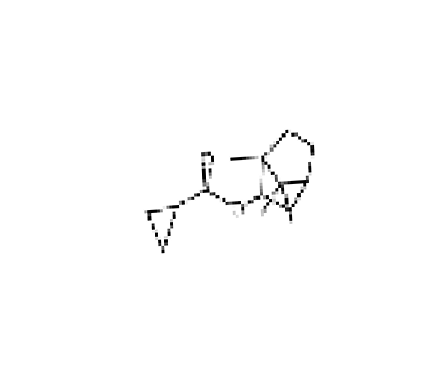 CC1(C)C2CCC1(C)C(OC(=O)C1CC1)C2